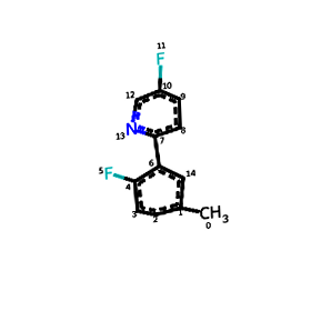 Cc1ccc(F)c(-c2ccc(F)cn2)c1